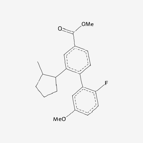 COC(=O)c1ccc(-c2cc(OC)ccc2F)c(C2CCCC2C)c1